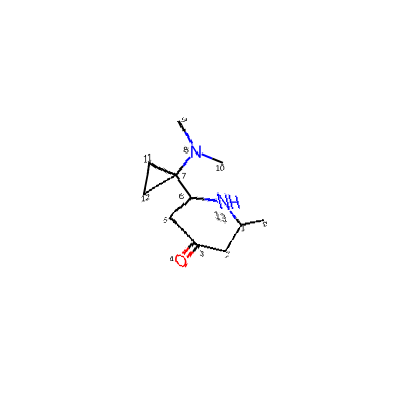 CC1CC(=O)CC(C2(N(C)C)CC2)N1